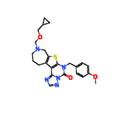 COc1ccc(Cn2c(=O)n3ncnc3c3c4c(sc32)CN(COCC2CC2)CCC4)cc1